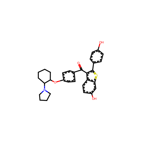 O=C(c1ccc(OC2CCCCC2N2CCCC2)cc1)c1c(-c2ccc(O)cc2)sc2cc(O)ccc12